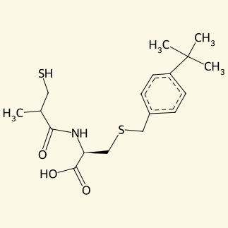 CC(CS)C(=O)N[C@@H](CSCc1ccc(C(C)(C)C)cc1)C(=O)O